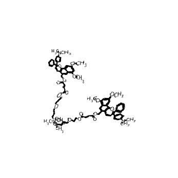 COc1cc(OC)c2cc(COC(=O)CCC(=O)OCCOCCC[Si](C)(C)O[Si](C)(C)CCCOCCOC(=O)CCC(=O)OCc3cc4c(OC)cc(OC)cc4c4c3C=CC(c3ccccc3)(c3ccc(N(C)C)cc3)O4)c3c(c2c1)OC(c1ccccc1)(c1ccc(N(C)C)cc1)C=C3